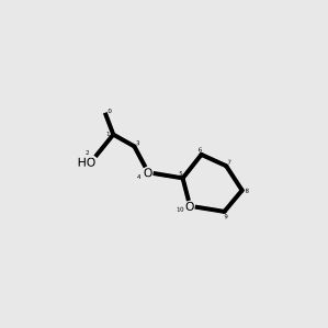 CC(O)COC1CCCCO1